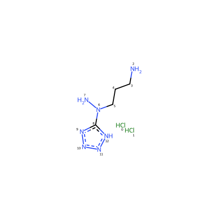 Cl.Cl.NCCCN(N)c1nnn[nH]1